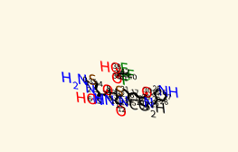 Nc1nc(C(=NO)C(=O)N[C@@H]2C(=O)N3C(C(=O)O)=C(C=C4CCN(CC5CCNCC5)C4=O)CS[C@H]23)cs1.O=C(O)C(F)(F)F